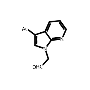 CC(=O)c1cn(CC=O)c2ncccc12